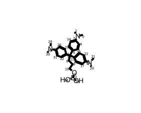 CN(C)c1ccc(C(CCCOB(O)O)(c2ccc(N(C)C)cc2)c2ccc(N(C)C)cc2)cc1